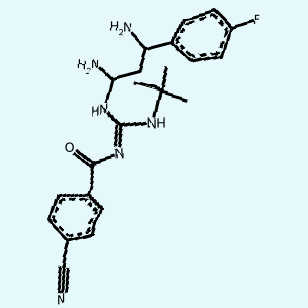 CC(C)(C)N/C(=N/C(=O)c1ccc(C#N)cc1)NC(N)CC(N)c1ccc(F)cc1